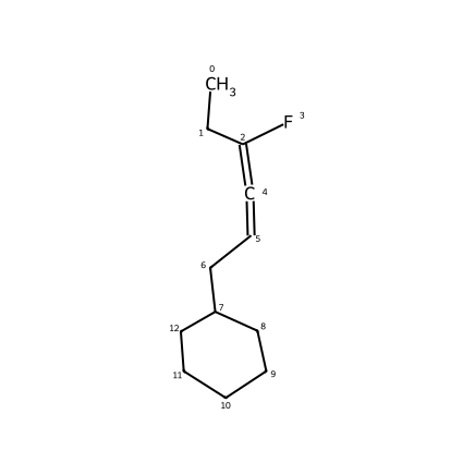 CCC(F)=C=CCC1CCCCC1